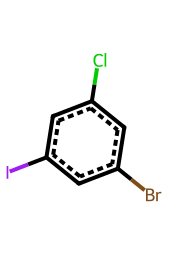 Clc1cc(Br)cc(I)c1